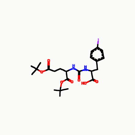 CC(C)(C)OC(=O)CCC(NC(=O)NC(Cc1ccc(I)cc1)C(=O)O)C(=O)OC(C)(C)C